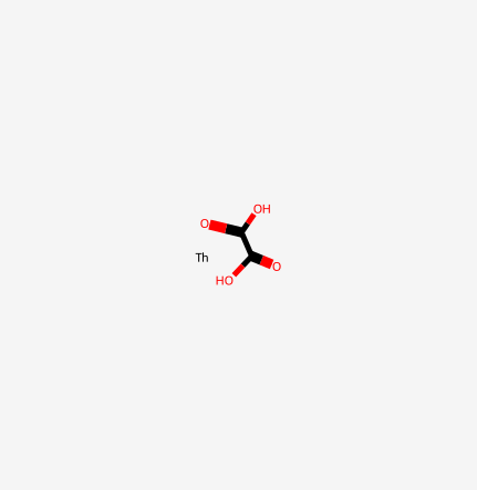 O=C(O)C(=O)O.[Th]